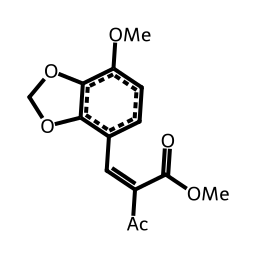 COC(=O)C(=Cc1ccc(OC)c2c1OCO2)C(C)=O